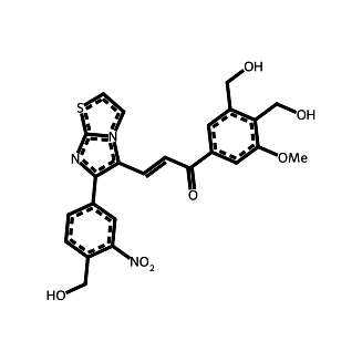 COc1cc(C(=O)/C=C/c2c(-c3ccc(CO)c([N+](=O)[O-])c3)nc3sccn23)cc(CO)c1CO